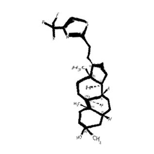 C[C@@]1(O)CC[C@@]2(C)[C@H](CC[C@@H]3[C@@H]2CC[C@]2(C)[C@@H](CCc4nc(C(F)(F)F)cs4)CC[C@@H]32)C1